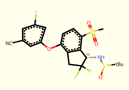 CC(C)(C)[S+]([O-])N[C@H]1c2c(S(C)(=O)=O)ccc(Oc3cc(F)cc(C#N)c3)c2CC1(F)F